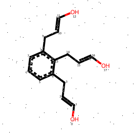 OC=CCc1cccc(CC=CO)c1CC=CO